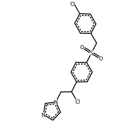 O=S(=O)(Cc1ccc(Cl)cc1)c1ccc(C(Cl)Cn2ccnc2)cc1